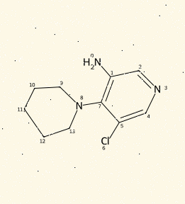 Nc1cncc(Cl)c1N1CC[CH]CC1